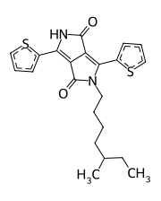 CCC(C)CCCCN1C(=O)C2=C(c3cccs3)NC(=O)C2=C1c1cccs1